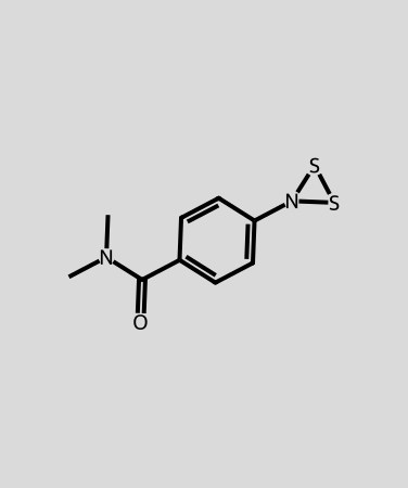 CN(C)C(=O)c1ccc(-n2ss2)cc1